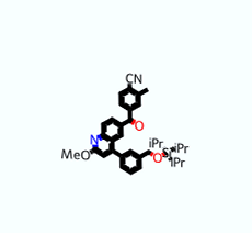 COc1cc(-c2cccc(CO[Si](C(C)C)(C(C)C)C(C)C)c2)c2cc(C(=O)c3ccc(C#N)c(C)c3)ccc2n1